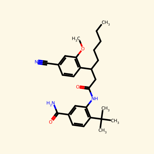 CCCCCC(CC(=O)Nc1cc(C(N)=O)ccc1C(C)(C)C)c1ccc(C#N)cc1OC